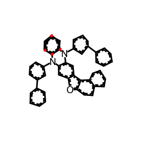 c1ccc(-c2cccc(N(c3ccccc3)c3cc4oc5ccc6ccccc6c5c4cc3N(c3ccccc3)c3cccc(-c4ccccc4)c3)c2)cc1